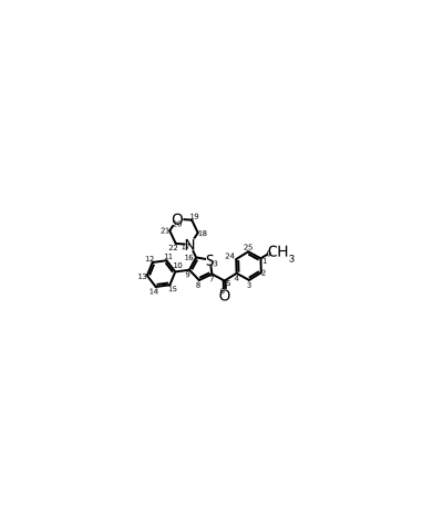 Cc1ccc(C(=O)c2cc(-c3ccccc3)c(N3CCOCC3)s2)cc1